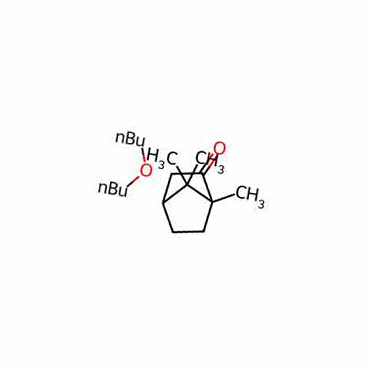 CC12CCC(CC1=O)C2(C)C.CCCCOCCCC